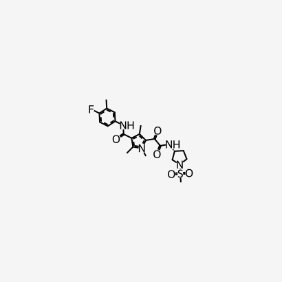 Cc1cc(NC(=O)c2c(C)c(C(=O)C(=O)N[C@@H]3CCN(S(C)(=O)=O)C3)n(C)c2C)ccc1F